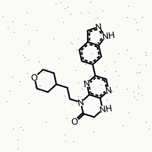 O=C1CNc2ncc(-c3ccc4cn[nH]c4c3)nc2N1CCC1CCOCC1